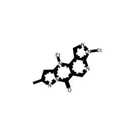 CCn1ncc2c1ncc1c(=O)n3nc(C)cc3n(CC)c12